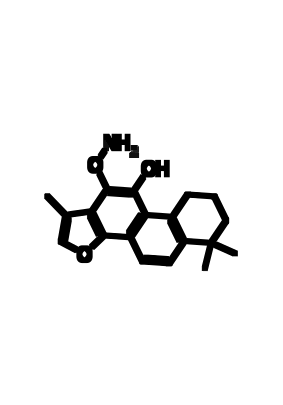 Cc1coc2c1c(ON)c(O)c1c3c(ccc12)C(C)(C)CCC3